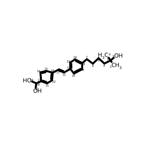 CC(C)(O)CCCCc1ccc(C=Cc2ccc(C(O)O)cc2)cc1